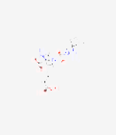 NC1(CNS(=O)(=O)N2C[C@H](CCCB(O)O)[C@](N)(C(=O)O)C2)CCC1